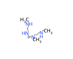 CCNCCCNC1CC1N(C)CCCNCC